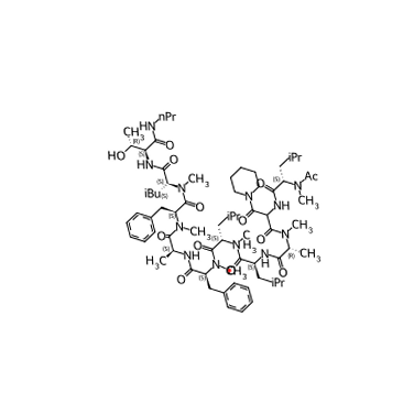 CCCNC(=O)[C@@H](NC(=O)[C@H]([C@@H](C)CC)N(C)C(=O)[C@H](Cc1ccccc1)N(C)C(=O)[C@H](C)NC(=O)[C@H](Cc1ccccc1)N(C)C(=O)[C@H](CC(C)C)N(C)C(=O)[C@H](CC(C)C)NC(=O)[C@@H](C)N(C)C(=O)C(NC(=O)[C@H](CC(C)C)N(C)C(C)=O)C(=O)N1CCCCC1)[C@@H](C)O